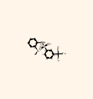 CSc1ccccc1NS(=O)(=O)c1cccc(C(F)(F)F)c1